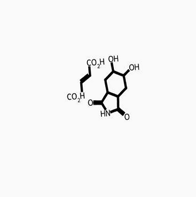 O=C(O)C=CC(=O)O.O=C1NC(=O)C2CC(O)C(O)CC12